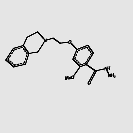 COc1cc(OCCN2CCc3ccccc3C2)ccc1C(=O)NN